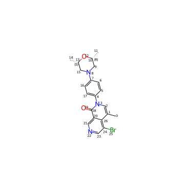 Cc1cn(-c2ccc(N3C[C@@H](C)O[C@@H](C)C3)cc2)c(=O)c2cncc(Br)c12